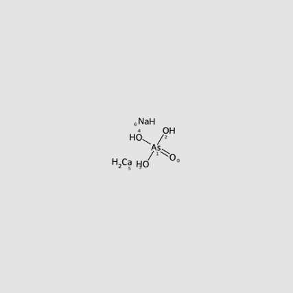 O=[As](O)(O)O.[CaH2].[NaH]